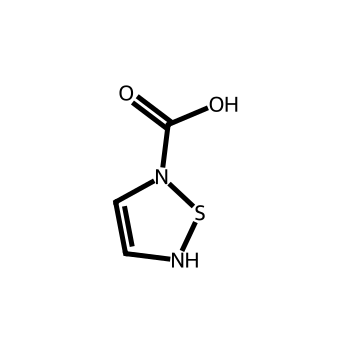 O=C(O)N1C=CNS1